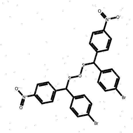 O=[N+]([O-])c1ccc(C(SOSC(c2ccc(Br)cc2)c2ccc([N+](=O)[O-])cc2)c2ccc(Br)cc2)cc1